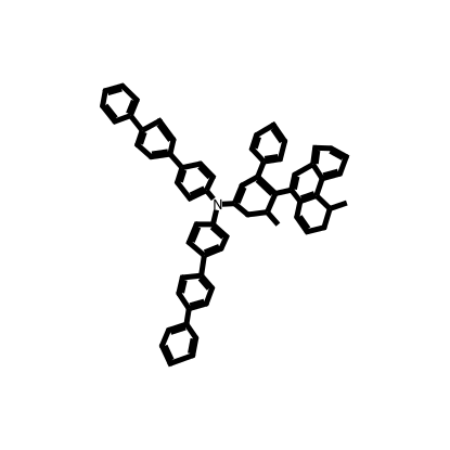 CC1CC(N(c2ccc(-c3ccc(-c4ccccc4)cc3)cc2)c2ccc(-c3ccc(-c4ccccc4)cc3)cc2)=CC(c2ccccc2)=C1c1cc2ccccc2c2c1C=CCC2C